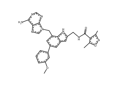 COc1cccc(-c2cc(Cn3cnc4c(N)ncnc43)c3[nH]c(CNC(=O)c4c(C)noc4C)cc3c2)c1